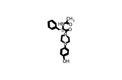 CC(=O)N[C@@H](Cc1ccccc1)C(=O)N1CCN(c2ccc(O)cc2)CC1